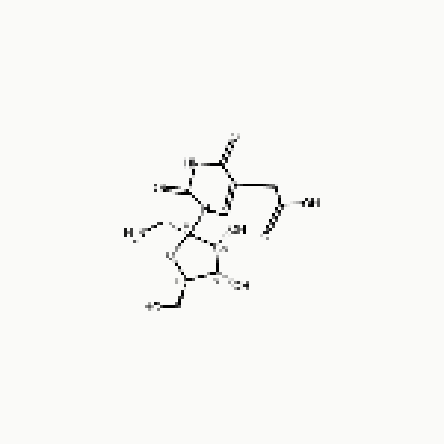 NC[C@@]1(n2cc(CC(=O)O)c(=O)[nH]c2=O)O[C@H](CO)[C@@H](O)[C@H]1O